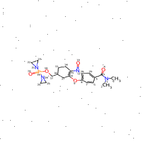 CN(C)C(=O)c1ccc(OC2=C(N=O)CCC(COP(=O)(N3CC3)N3CC3)C2)cc1